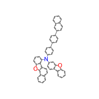 c1ccc2cc(-c3ccc(-c4ccc(N(c5ccc6c(c5)oc5ccccc56)c5cccc6oc7c8ccccc8ccc7c56)cc4)cc3)ccc2c1